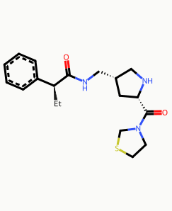 CC[C@H](C(=O)NC[C@@H]1CN[C@H](C(=O)N2CCSC2)C1)c1ccccc1